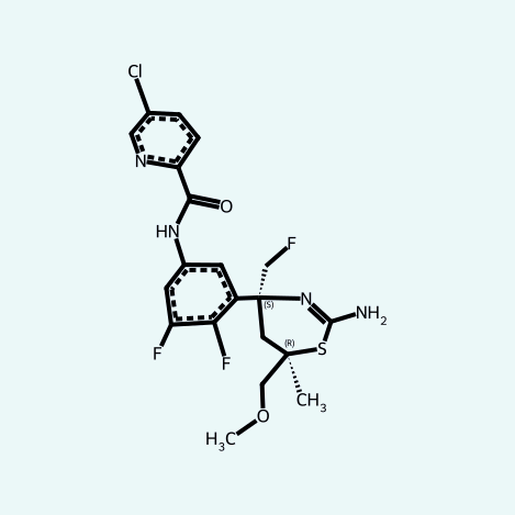 COC[C@@]1(C)C[C@@](CF)(c2cc(NC(=O)c3ccc(Cl)cn3)cc(F)c2F)N=C(N)S1